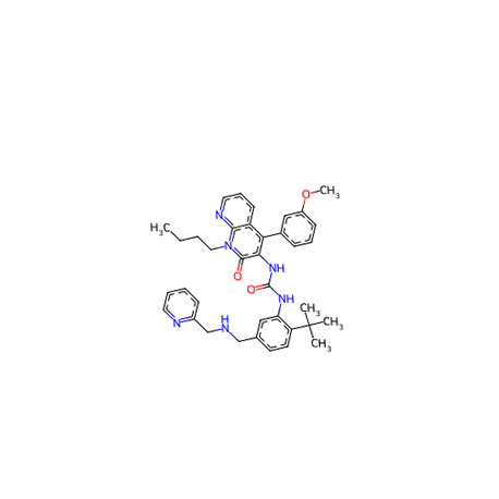 CCCCn1c(=O)c(NC(=O)Nc2cc(CNCc3ccccn3)ccc2C(C)(C)C)c(-c2cccc(OC)c2)c2cccnc21